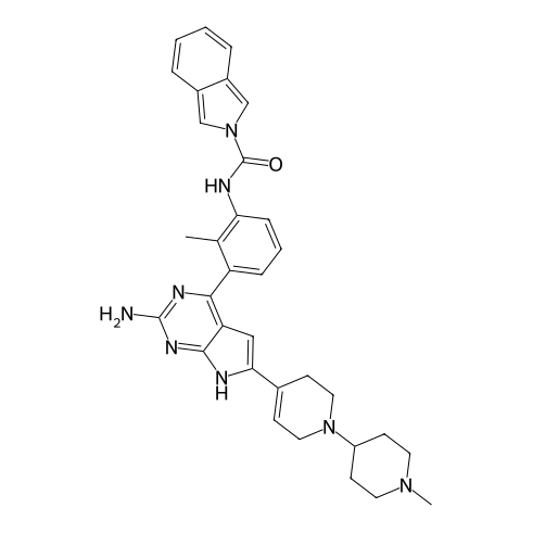 Cc1c(NC(=O)n2cc3ccccc3c2)cccc1-c1nc(N)nc2[nH]c(C3=CCN(C4CCN(C)CC4)CC3)cc12